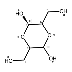 OCC1O[C@@H](O)C(CO)OC1O